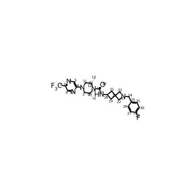 C[C@@H]1CN(c2cnc(C(F)(F)F)cn2)C[C@H](C)N1C(=O)NC1CC2(C1)CN(Cc1ccc(F)cc1)C2